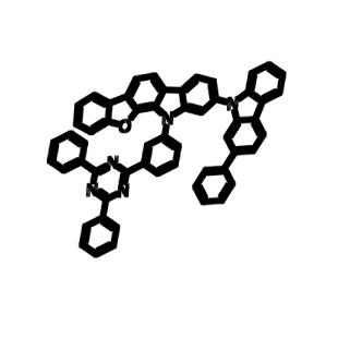 c1ccc(-c2ccc3c4ccccc4n(-c4ccc5c6ccc7c8ccccc8oc7c6n(-c6cccc(-c7nc(-c8ccccc8)nc(-c8ccccc8)n7)c6)c5c4)c3c2)cc1